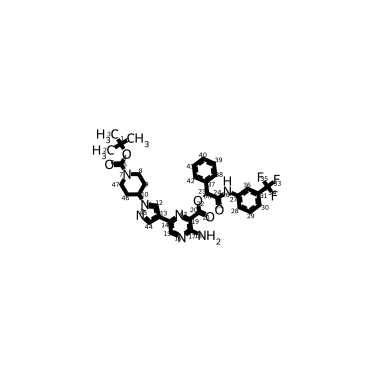 CC(C)(C)OC(=O)N1CCC(n2cc(-c3cnc(N)c(C(=O)O[C@@H](C(=O)Nc4cccc(C(F)(F)F)c4)c4ccccc4)n3)cn2)CC1